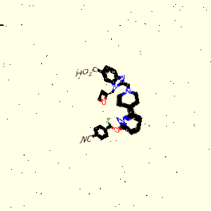 N#Cc1ccc(C(F)Oc2cccc(C3CCN(Cc4nc5ccc(C(=O)O)cc5n4C[C@@H]4CCO4)CC3)n2)cc1